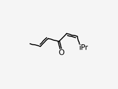 CC=CC(=O)/C=C\C(C)C